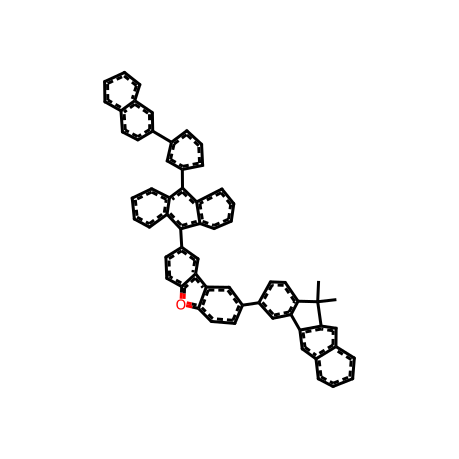 CC1(C)c2ccc(-c3ccc4oc5ccc(-c6c7ccccc7c(-c7cccc(-c8ccc9ccccc9c8)c7)c7ccccc67)cc5c4c3)cc2-c2cc3ccccc3cc21